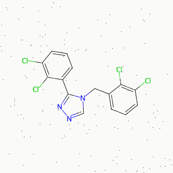 Clc1cccc(Cn2cnnc2-c2cccc(Cl)c2Cl)c1Cl